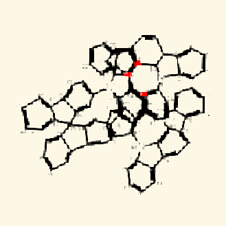 C1=CC2c3ccccc3N(c3ccccc3)C2c2c1c1ccccc1n2-c1nc(-c2ccc3c(c2)C2(c4ccccc4-3)c3ccccc3-c3ccc(-n4c5ccccc5c5ccccc54)cc32)nc(-n2c3ccccc3c3ccc4c5ccccc5n(-c5ccccc5)c4c32)n1